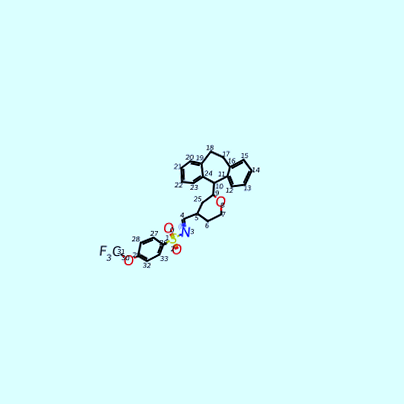 O=S(=O)(/N=C/C1CCOC(C2c3ccccc3CCc3ccccc32)C1)c1ccc(OC(F)(F)F)cc1